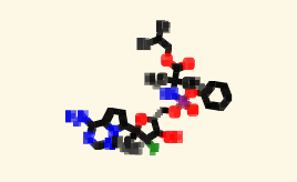 CCC(CC)COC(=O)C(C)(C)NP(=O)(OC[C@H]1O[C@@](C)(c2ccc3c(N)ncnn23)[C@@](F)(C#N)[C@@H]1O)Oc1ccccc1